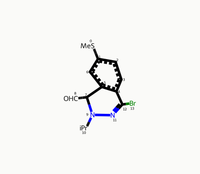 CSc1ccc2c(c1)C(C=O)N(C(C)C)N=C2Br